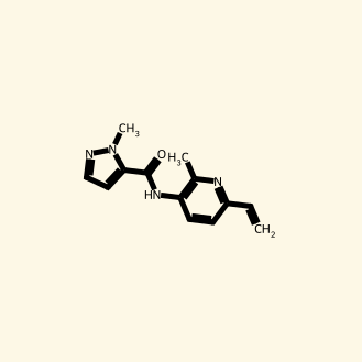 C=Cc1ccc(NC(=O)c2ccnn2C)c(C)n1